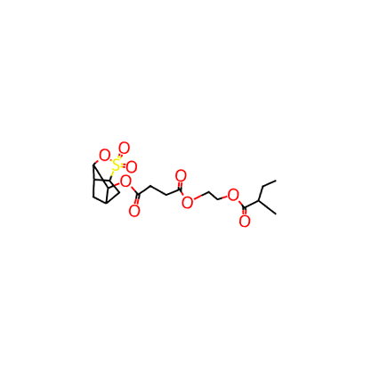 CCC(C)C(=O)OCCOC(=O)CCC(=O)OC1C2CC3C1OS(=O)(=O)C3C2